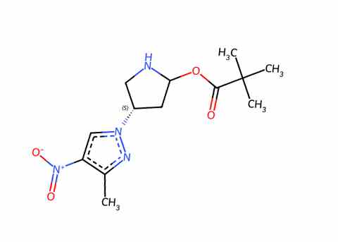 Cc1nn([C@@H]2CNC(OC(=O)C(C)(C)C)C2)cc1[N+](=O)[O-]